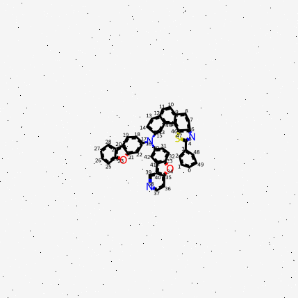 c1ccc(-c2nc3ccc4ccc5ccc(N(c6ccc7c(c6)oc6ccccc67)c6ccc7oc8ccncc8c7c6)cc5c4c3s2)cc1